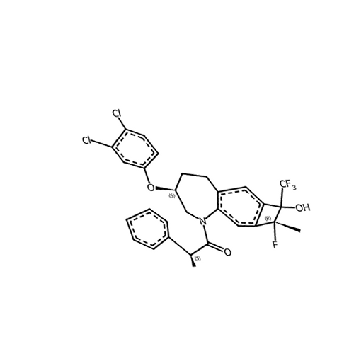 C[C@H](C(=O)N1C[C@@H](Oc2ccc(Cl)c(Cl)c2)CCc2cc3c(cc21)[C@@](C)(F)C3(O)C(F)(F)F)c1ccccc1